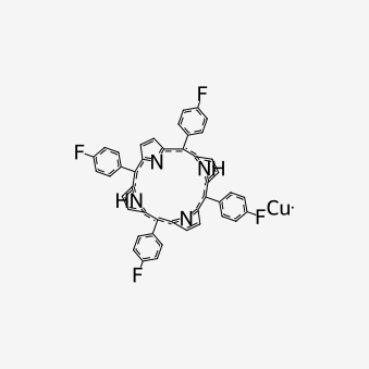 Fc1ccc(-c2c3nc(c(-c4ccc(F)cc4)c4ccc([nH]4)c(-c4ccc(F)cc4)c4nc(c(-c5ccc(F)cc5)c5ccc2[nH]5)C=C4)C=C3)cc1.[Cu]